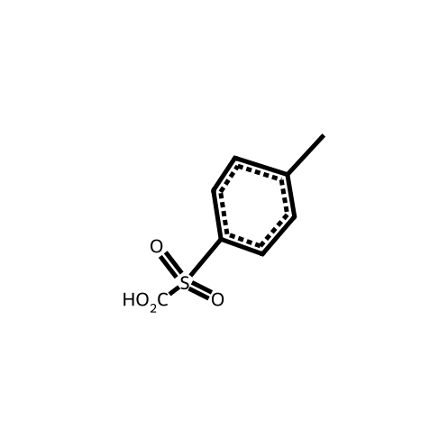 Cc1ccc(S(=O)(=O)C(=O)O)cc1